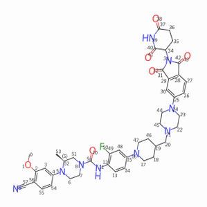 COc1cc(N2CCN(C(=O)Nc3ccc(N4CCC(CN5CCN(c6ccc7c(c6)C(=O)N(C6CCC(=O)NC6=O)C7=O)CC5)CC4)cc3F)C[C@@H]2C)ccc1C#N